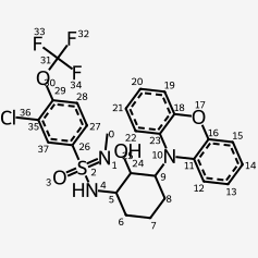 CN=S(=O)(NC1CCCC(N2c3ccccc3Oc3ccccc32)C1O)c1ccc(OC(F)(F)F)c(Cl)c1